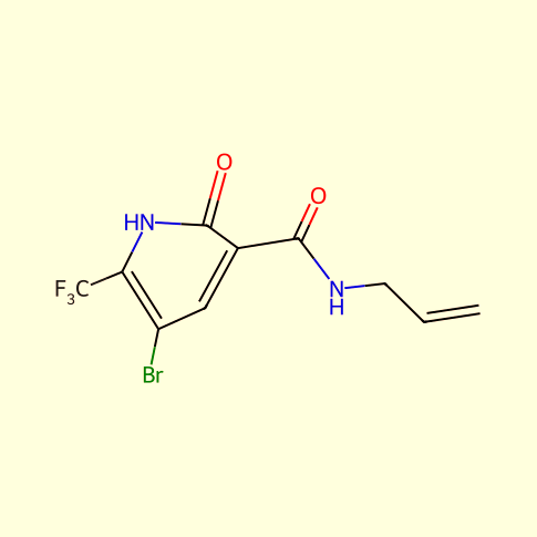 C=CCNC(=O)c1cc(Br)c(C(F)(F)F)[nH]c1=O